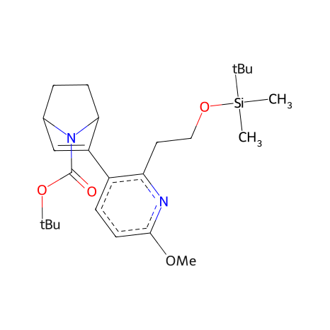 COc1ccc(C2=CC3CCC2N3C(=O)OC(C)(C)C)c(CCO[Si](C)(C)C(C)(C)C)n1